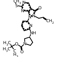 C=CCn1c(=O)c2cnc(SC)nc2n1-c1cccc(N[C@H]2CCN(C(=O)OC(C)(C)C)C2)n1